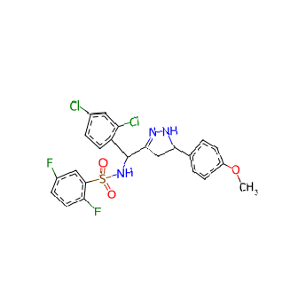 COc1ccc(C2CC(C(NS(=O)(=O)c3cc(F)ccc3F)c3ccc(Cl)cc3Cl)=NN2)cc1